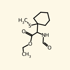 CCOC(=O)C(NC=O)C1(SC)CCCCC1